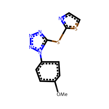 COc1ccc(-n2nnnc2Sc2nccs2)cc1